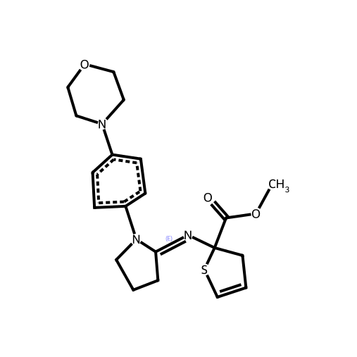 COC(=O)C1(/N=C2\CCCN2c2ccc(N3CCOCC3)cc2)CC=CS1